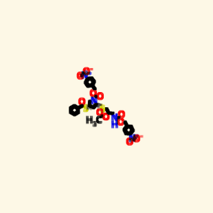 CC(=O)OC(CNC(=O)OCc1ccc([N+](=O)[O-])cc1)CSC[C@@H]1C[C@H](SC(=O)c2ccccc2)CN1C(=O)OCc1ccc([N+](=O)[O-])cc1